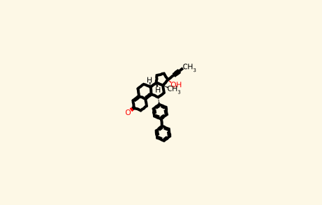 CC#C[C@]1(O)CC[C@H]2[C@@H]3CCC4=CC(=O)CCC4=C3[C@@H](c3ccc(-c4ccccc4)cc3)C[C@@]21C